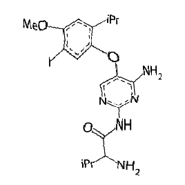 COc1cc(C(C)C)c(Oc2cnc(NC(=O)C(N)C(C)C)nc2N)cc1I